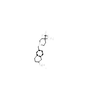 NC1CCc2cc(CN3CCC(O)(C(F)(F)F)CC3)ccc2C1